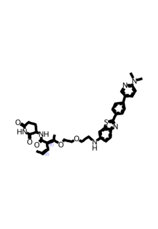 C/C=C\C(C(=O)NC1CCC(=O)NC1=O)=C(\C)OCCOCCNc1ccc2nc(-c3ccc(-c4ccc(N(C)C)nc4)cc3)sc2c1